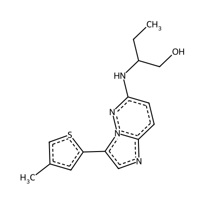 CCC(CO)Nc1ccc2ncc(-c3cc(C)cs3)n2n1